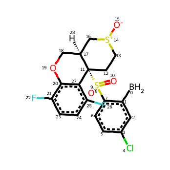 Bc1cc(Cl)ccc1S(=O)(=O)[C@@]12CC[S+]([O-])C[C@@H]1COc1c(F)ccc(F)c12